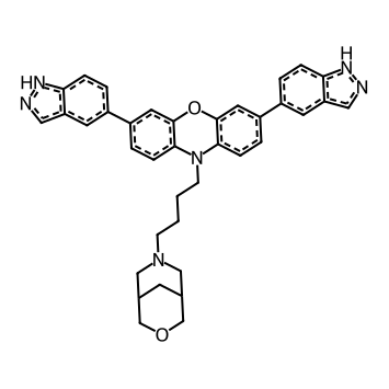 c1cc2c(cc1-c1ccc3[nH]ncc3c1)Oc1cc(-c3ccc4[nH]ncc4c3)ccc1N2CCCCN1CC2COCC(C2)C1